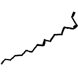 C=C/C=C\CCCCC=CCCCCCCCC